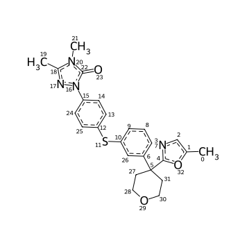 Cc1cnc(C2(c3cccc(Sc4ccc(-n5nc(C)n(C)c5=O)cc4)c3)CCOCC2)o1